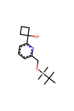 CC(C)(C)[Si](C)(C)OCc1cccc(C2(O)CCC2)n1